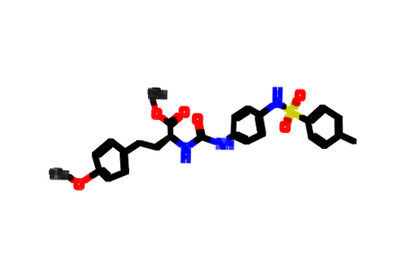 Cc1ccc(S(=O)(=O)Nc2ccc(NC(=O)N[C@@H](CCc3ccc(OC(C)(C)C)cc3)C(=O)OC(C)(C)C)cc2)cc1